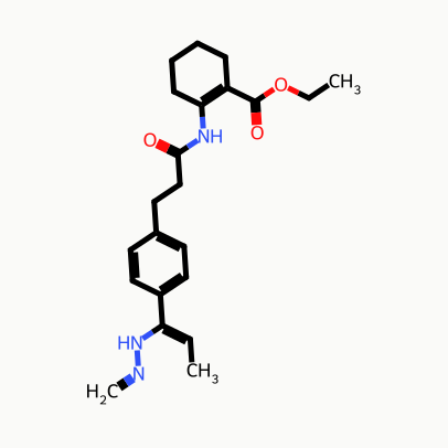 C=NN/C(=C\C)c1ccc(CCC(=O)NC2=C(C(=O)OCC)CCCC2)cc1